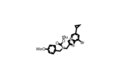 COc1ccc(CN(Cc2cn3cc(C4CC4)cc(Br)c3n2)C(=O)OC(C)(C)C)cc1